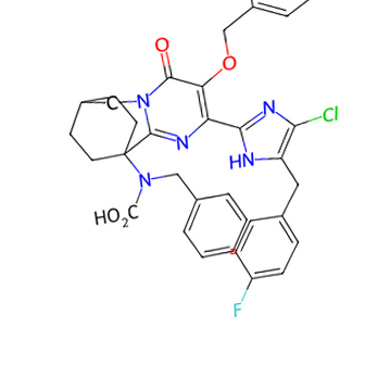 O=C(O)N(Cc1ccccc1)C12CCC(CC1)Cn1c2nc(-c2nc(Cl)c(Cc3ccc(F)cc3)[nH]2)c(OCc2ccccc2)c1=O